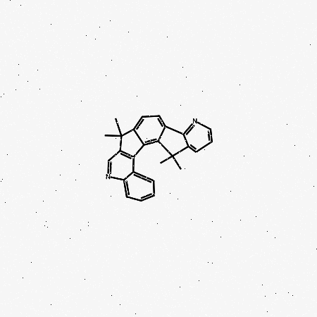 CC1(C)c2ccc3c(c2-c2c1cnc1ccccc21)C(C)(C)c1cccnc1-3